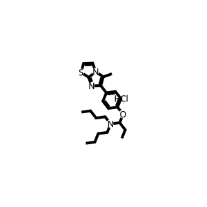 CCCCN(CCCC)C(CC)Oc1ccc(-c2nc3sccn3c2C)cc1.Cl